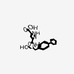 O=C(N[C@@H](CCO)Cc1ccc(-c2ccccc2)cc1)c1cc(C(=O)O)[nH]n1